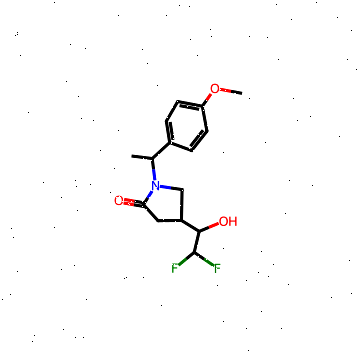 COc1ccc(C(C)N2CC(C(O)C(F)F)CC2=O)cc1